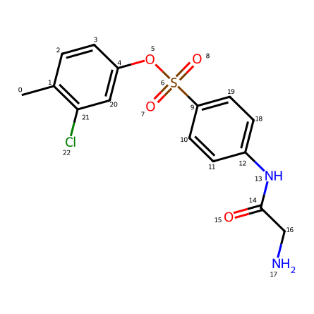 Cc1ccc(OS(=O)(=O)c2ccc(NC(=O)CN)cc2)cc1Cl